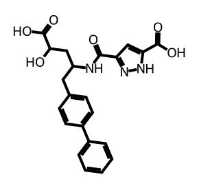 O=C(NC(Cc1ccc(-c2ccccc2)cc1)CC(O)C(=O)O)c1cc(C(=O)O)[nH]n1